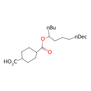 CCCCCCCCCCCCCC(CCCC)OC(=O)C1CCC(C(=O)O)CC1